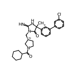 CC1(c2cccc(-c3cccc(Cl)c3)c2)NC(=N)N(C[C@H]2CCN(C(=O)C3CCCCC3)C2)C1=O